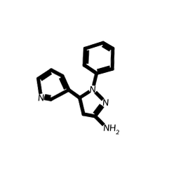 NC1=NN(c2ccccc2)C(c2cccnc2)C1